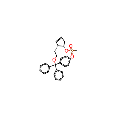 CS(=O)(=O)O[C@H]1CC=C[C@H]1CCOC(c1ccccc1)(c1ccccc1)c1ccccc1